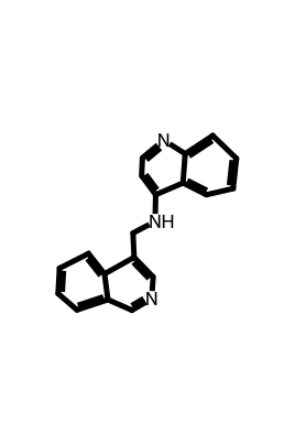 c1ccc2c(CNc3ccnc4ccccc34)cncc2c1